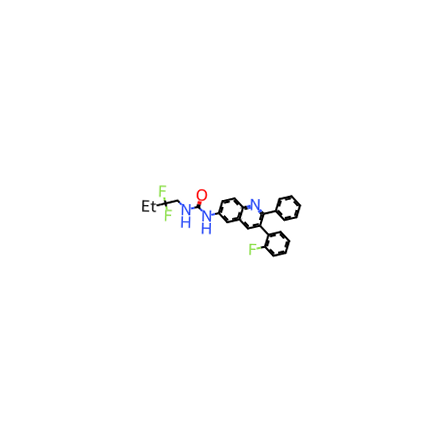 CCC(F)(F)CNC(=O)Nc1ccc2nc(-c3ccccc3)c(-c3ccccc3F)cc2c1